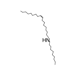 CCCCCCCC/C=C\CCCCCCCCNCCCCCCCCCC